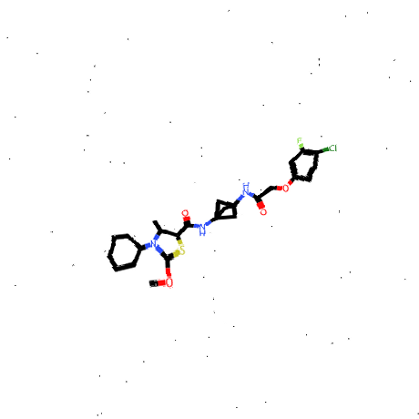 COC1SC(C(=O)NC23CC(NC(=O)COc4ccc(Cl)c(F)c4)(C2)C3)C(C)N1C1CCCCC1